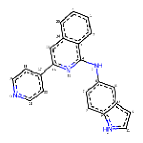 c1ccc2c(Nc3ccc4[nH]ccc4c3)nc(-c3ccncc3)cc2c1